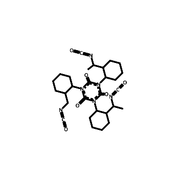 CC(N=C=O)C1CCCCC1n1c(=O)n(C2CCCCC2CN=C=O)c(=O)n(C2CCCCC2C(C)N=C=O)c1=O